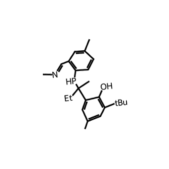 CCC(C)(Pc1ccc(C)cc1/C=N/C)c1cc(C)cc(C(C)(C)C)c1O